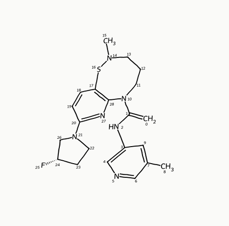 C=C(Nc1cncc(C)c1)N1CCCN(C)Sc2ccc(N3CC[C@H](F)C3)nc21